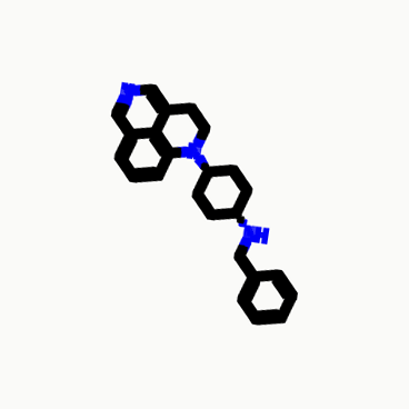 c1ccc(CN[C@H]2CC[C@H](N3CCc4cncc5cccc3c45)CC2)cc1